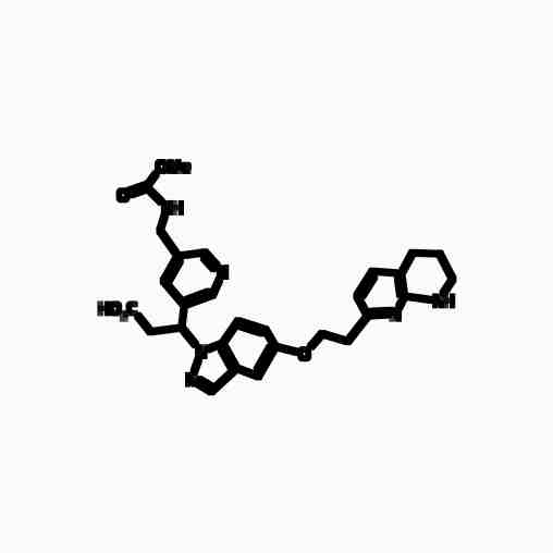 COC(=O)NCc1cncc(C(CC(=O)O)n2ncc3cc(OCCc4ccc5c(n4)NCCC5)ccc32)c1